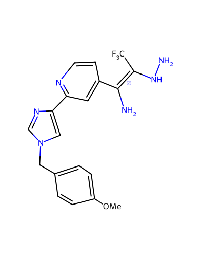 COc1ccc(Cn2cnc(-c3cc(/C(N)=C(/NN)C(F)(F)F)ccn3)c2)cc1